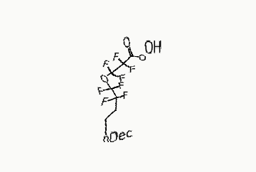 CCCCCCCCCCCCC(F)(F)C(F)(F)OC(F)(F)C(F)(F)C(=O)OO